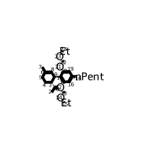 C=C(C)[C@@H]1CCC(C)=C[C@H]1c1c(OCOCC)cc(CCCCC)cc1OCOCC